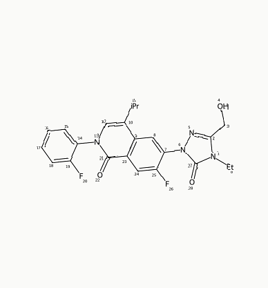 CCn1c(CO)nn(-c2cc3c(C(C)C)cn(-c4ccccc4F)c(=O)c3cc2F)c1=O